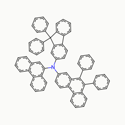 c1ccc(-c2c(-c3ccccc3)c3cc(N(c4ccc5c(c4)C(c4ccccc4)(c4ccccc4)c4ccccc4-5)c4cc5ccccc5c5ccccc45)ccc3c3ccccc23)cc1